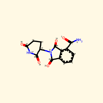 NC(=O)c1cccc2c1C(=O)N(C1CCC(=O)NC1=O)C2=O